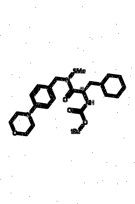 CSN(Cc1ccc(N2CCOCC2)cc1)C(=O)[C@@H](CC1CCCCC1)NC(=O)OC(C)(C)C